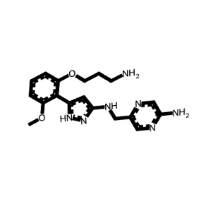 COc1cccc(OCCCN)c1-c1cc(NCc2cnc(N)cn2)n[nH]1